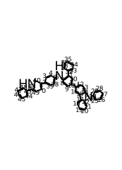 C1=C(c2ccc(Nc3ccc(-c4ccc5c(c4)c4ccccc4n5-c4ccccc4)cc3-c3ccccc3)cc2)CNC(c2ccccc2)=C1